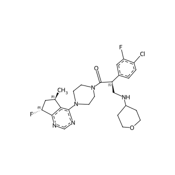 C[C@@H]1C[C@@H](F)c2ncnc(N3CCN(C(=O)[C@H](CNC4CCOCC4)c4ccc(Cl)c(F)c4)CC3)c21